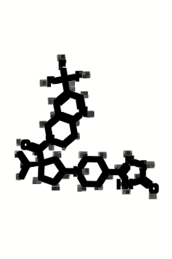 CC(C)[C@]1(C(=O)N2CCc3ncc(C(F)(F)F)cc3C2)CCC(N2CCC(c3nsc(=O)[nH]3)CC2)C1